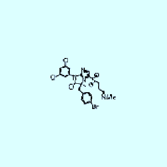 CNCCCS(=O)(=O)c1cnc2n1[C@](C)(Cc1ccc(Br)cc1)C(=O)N2c1cc(Cl)cc(Cl)c1